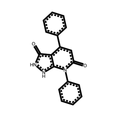 O=c1[nH][nH]c2c1c(-c1ccccc1)cc(=O)n2-c1ccccc1